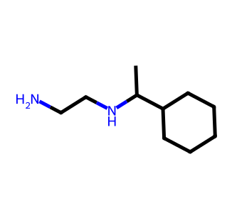 CC(NCCN)C1CCCCC1